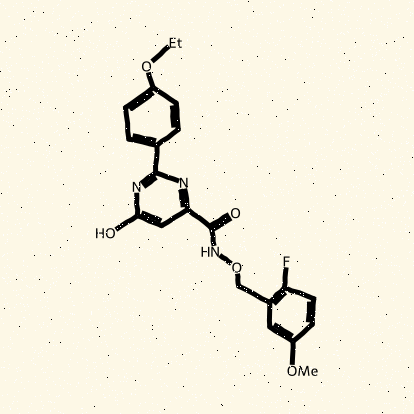 CCOc1ccc(-c2nc(O)cc(C(=O)NOCc3cc(OC)ccc3F)n2)cc1